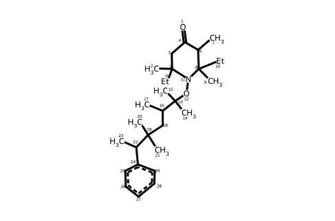 CCC1(C)CC(=O)C(C)C(C)(CC)N1OC(C)(C)C(C)CC(C)(C)C(C)c1ccccc1